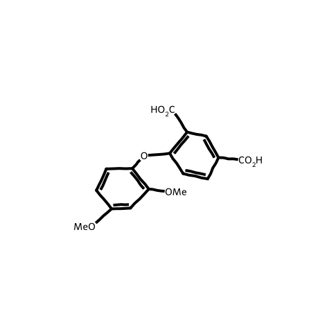 COc1ccc(Oc2ccc(C(=O)O)cc2C(=O)O)c(OC)c1